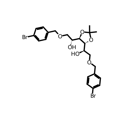 CC1(C)O[C@H]([C@H](O)COCc2ccc(Br)cc2)[C@@H]([C@H](O)COCc2ccc(Br)cc2)O1